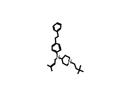 CC(C)=CCN(c1ccc(CCc2ccccc2)cc1)C1CCN(CCC(C)(C)C)CC1